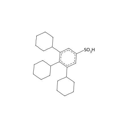 O=S(=O)(O)c1cc(C2CCCCC2)c(C2CCCCC2)c(C2CCCCC2)c1